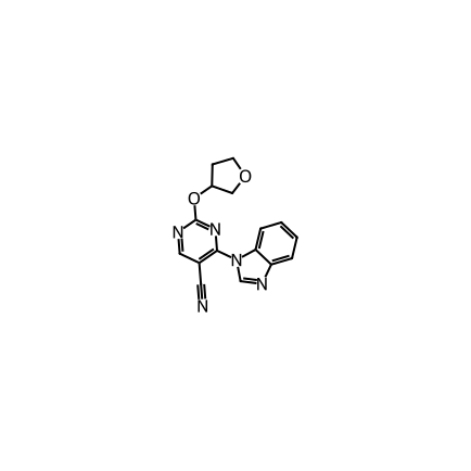 N#Cc1cnc(OC2CCOC2)nc1-n1cnc2ccccc21